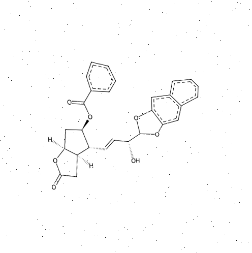 O=C1C[C@@H]2[C@@H](/C=C/[C@@H](O)C3Oc4cc5ccccc5cc4O3)[C@H](OC(=O)c3ccccc3)C[C@@H]2O1